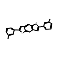 Cc1cccc(-c2cc3cc4sc(-c5cccc(C)c5)cc4cc3s2)c1